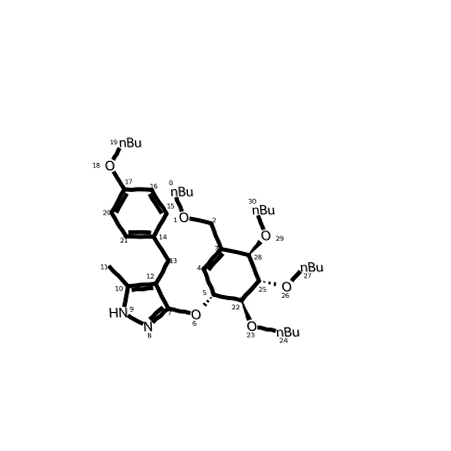 CCCCOCC1=C[C@@H](Oc2n[nH]c(C)c2Cc2ccc(OCCCC)cc2)[C@H](OCCCC)[C@@H](OCCCC)[C@@H]1OCCCC